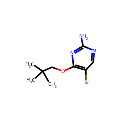 CC(C)(C)COc1nc(N)ncc1Br